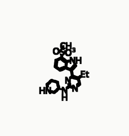 CCc1cnc(N[C@H]2CCCNC2)nc1-c1c[nH]c2c(S(C)(=O)=O)cccc12